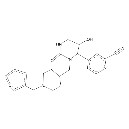 N#Cc1cccc(C2C(O)CNC(=O)N2CC2CCN(Cc3ccccc3)CC2)c1